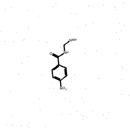 CNCNC(=O)c1ccc([N+](=O)[O-])cc1